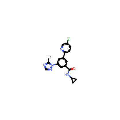 CCc1ncnn1-c1cc(C(=O)NC2CC2)cc(-c2ccc(Cl)cn2)c1